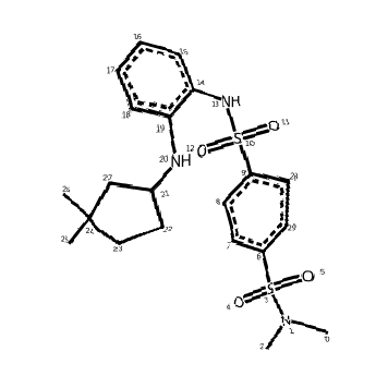 CN(C)S(=O)(=O)c1ccc(S(=O)(=O)Nc2ccccc2NC2CCC(C)(C)C2)cc1